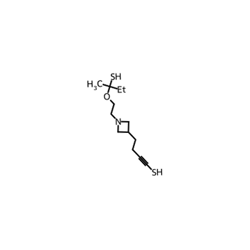 CCC(C)(S)OCCN1CC(CCC#CS)C1